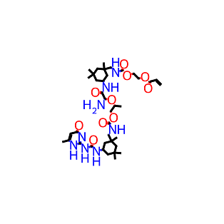 C=CC(=O)OCCOC(=O)NCC1(C)CC(NC(=O)C(N)OC(C)COC(=O)NCC2(C)CC(NC(=O)Nc3nc(=O)cc(C)[nH]3)CC(C)(C)C2)CC(C)(C)C1